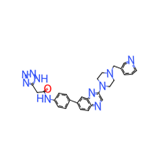 O=C(Cc1nnn[nH]1)Nc1ccc(-c2ccc3ncc(N4CCN(Cc5cccnc5)CC4)nc3c2)cc1